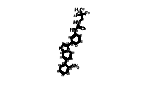 CC(F)(F)CNC(=O)Nc1cccc(-c2cnc3cc(-c4ccccc4N)ccn23)c1